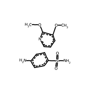 COc1cccnc1OC.Nc1ccc(S(N)(=O)=O)cc1